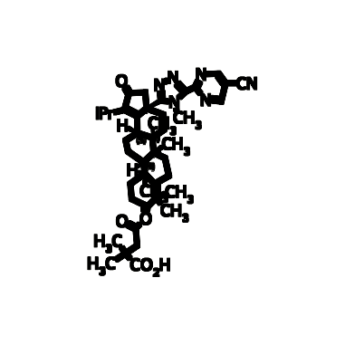 CC(C)C1=C2[C@H]3CC[C@@H]4[C@@]5(C)CC[C@H](OC(=O)CC(C)(C)C(=O)O)C(C)(C)C5CC[C@@]4(C)[C@]3(C)CC[C@@]2(c2nnc(-c3ncc(C#N)cn3)n2C)CC1=O